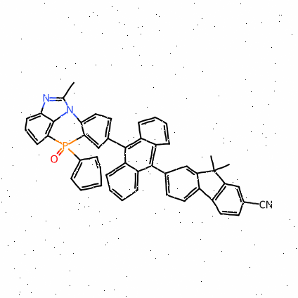 Cc1nc2cccc3c2n1-c1ccc(-c2c4ccccc4c(-c4ccc5c(c4)C(C)(C)c4cc(C#N)ccc4-5)c4ccccc24)cc1P3(=O)c1ccccc1